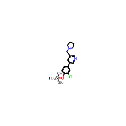 CC(C)(C)[Si](C)(C)Oc1ccc(-c2cncc(CN3CCCC3)c2)cc1Cl